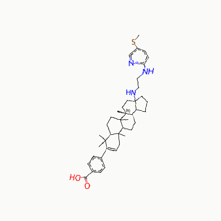 CSc1ccc(NCCNC23CCCC2C2CCC4C5(C)CC=C(c6ccc(C(=O)O)cc6)C(C)(C)C5CCC4(C)[C@]2(C)CC3)nc1